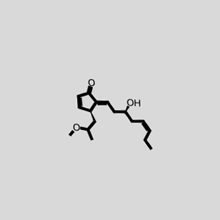 CC/C=C\C[C@H](O)C/C=C1/C(=O)C=C[C@@H]1CC(C)OC